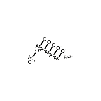 CC(=O)[O-].CC(=O)[O-].CC(=O)[O-].CC(=O)[O-].CC(=O)[O-].CC(=O)[O-].[C+4].[Fe+2]